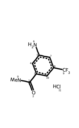 CNC(=O)c1cc(N)cc(C(F)(F)F)c1.Cl